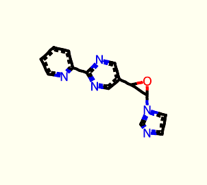 c1ccc(-c2ncc(C3OC3n3ccnc3)cn2)nc1